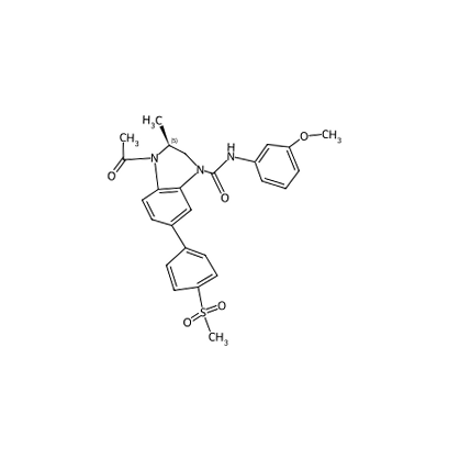 COc1cccc(NC(=O)N2C[C@H](C)N(C(C)=O)c3ccc(-c4ccc(S(C)(=O)=O)cc4)cc32)c1